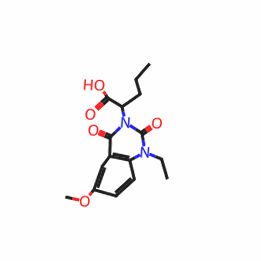 CCCC(C(=O)O)n1c(=O)c2cc(OC)ccc2n(CC)c1=O